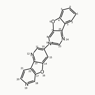 c1ccc2c(c1)oc1c[n+](-c3cnc4c(c3)oc3cnccc34)cnc12